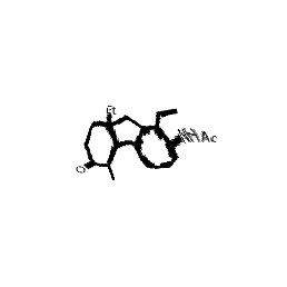 C=Cc1c(NC(C)=O)ccc2c1CC1(CC)CCC(=O)C(C)=C21